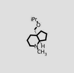 CC(C)OC[C@]12CCC[C@H]1N(C)CCC2